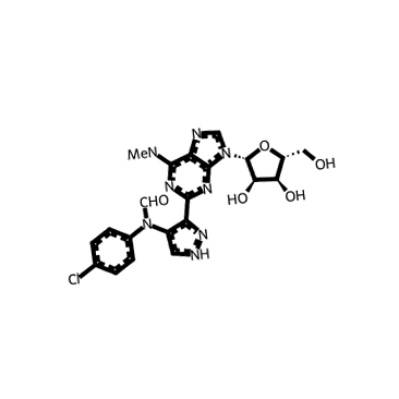 CNc1nc(-c2n[nH]cc2N(C=O)c2ccc(Cl)cc2)nc2c1ncn2[C@@H]1O[C@H](CO)[C@@H](O)[C@H]1O